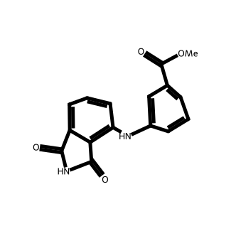 COC(=O)c1cccc(Nc2cccc3c2C(=O)NC3=O)c1